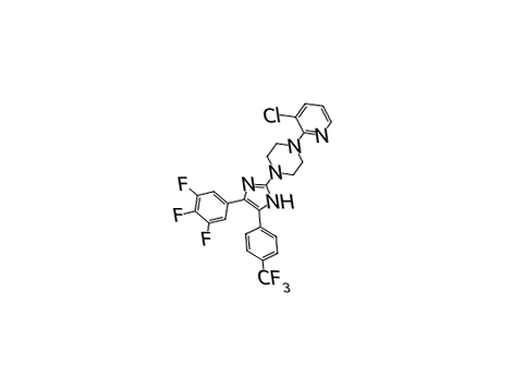 Fc1cc(-c2nc(N3CCN(c4ncccc4Cl)CC3)[nH]c2-c2ccc(C(F)(F)F)cc2)cc(F)c1F